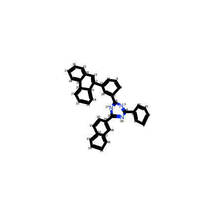 c1ccc(-c2nc(-c3cccc(-c4cc5ccccc5c5ccccc45)c3)nc(-c3ccc4ccccc4c3)n2)cc1